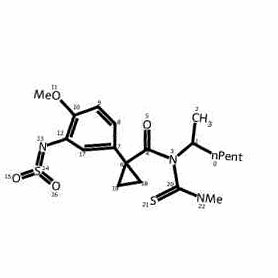 CCCCCC(C)N(C(=O)C1(c2ccc(OC)c(N=S(=O)=O)c2)CC1)C(=S)NC